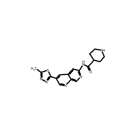 Cc1nnc(-c2cnc3cnc(NC(=O)C4CCNCC4)cc3c2)s1